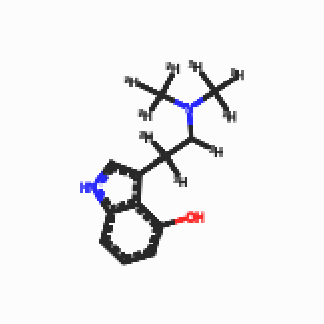 [2H]C(N(C([2H])([2H])[2H])C([2H])([2H])[2H])C([2H])([2H])c1c[nH]c2cccc(O)c12